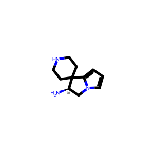 N[C@@H]1Cn2cccc2C12CCNCC2